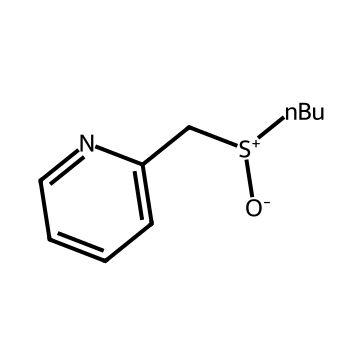 CCCC[S+]([O-])Cc1ccccn1